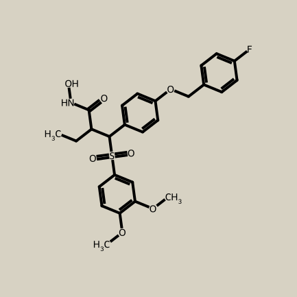 CCC(C(=O)NO)C(c1ccc(OCc2ccc(F)cc2)cc1)S(=O)(=O)c1ccc(OC)c(OC)c1